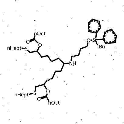 CCCCCCCCC(=O)OC(CCCCC(CCCCC(CSCCCCCCC)OC(=O)CCCCCCCC)NCCCCO[Si](c1ccccc1)(c1ccccc1)C(C)(C)C)CSCCCCCCC